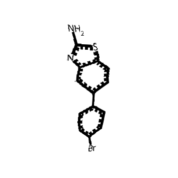 Nc1nc2[c]c(-c3ccc(Br)cc3)ccc2s1